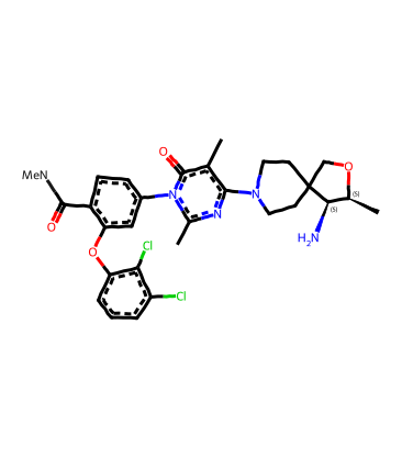 CNC(=O)c1ccc(-n2c(C)nc(N3CCC4(CC3)CO[C@@H](C)[C@H]4N)c(C)c2=O)cc1Oc1cccc(Cl)c1Cl